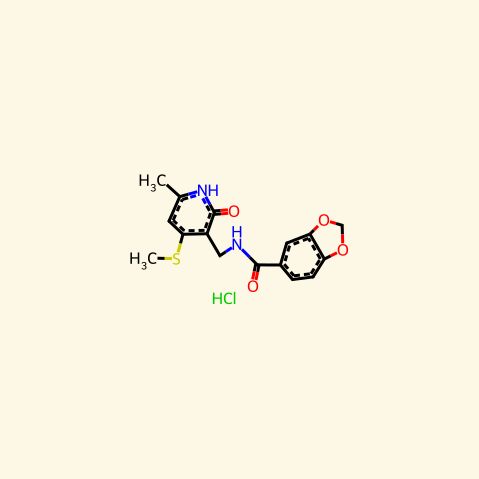 CSc1cc(C)[nH]c(=O)c1CNC(=O)c1ccc2c(c1)OCO2.Cl